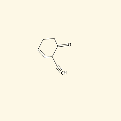 C#CC1C=CCCC1=O